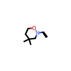 C=CN1CC(C)(C)CCO1